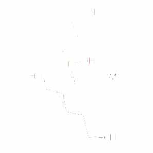 CCCCC(CC)CP(=O)(O)CCCC.[Mo]